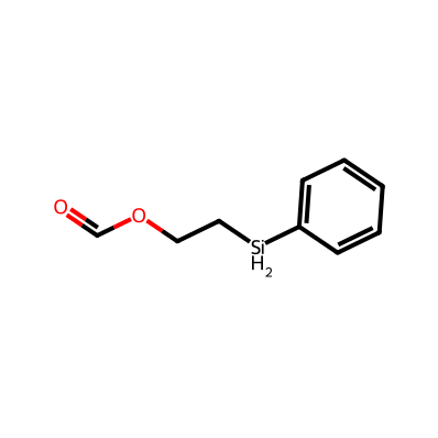 O=COCC[SiH2]c1ccccc1